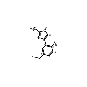 Cc1nc(-c2cc(CI)ccc2Cl)co1